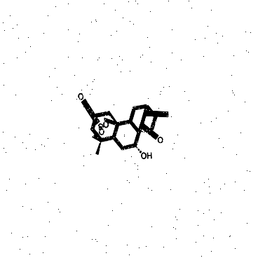 C=C1C(=O)[C@]23CCC1CC2[C@@]12CCC[C@@](C)(COS(=O)OC1)C2C[C@H]3O